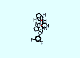 COc1cc(N2C[C@H]3CC[C@@H](C2)C3Nc2nc3n(n2)CC[C@H]3Oc2cc(F)cc(F)c2)cnn1